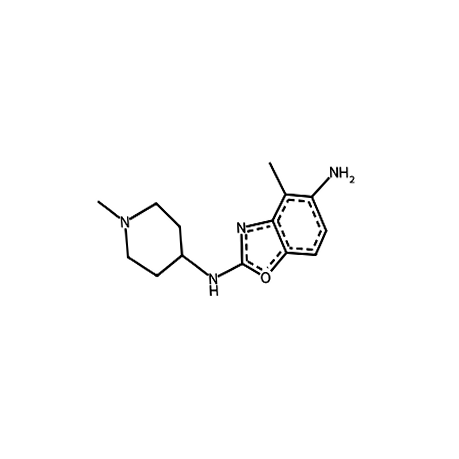 Cc1c(N)ccc2oc(NC3CCN(C)CC3)nc12